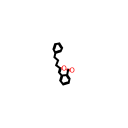 O=c1oc(CCCc2ccccc2)cc2ccccc12